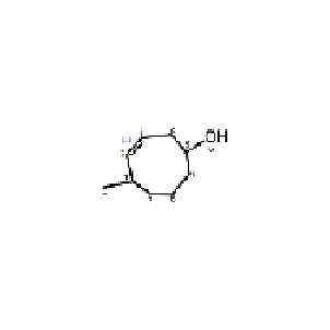 CC1/C=C\CC(O)CCC1